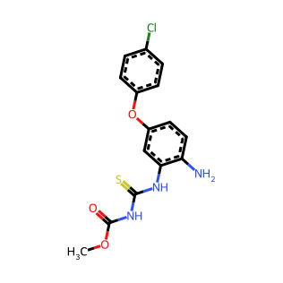 COC(=O)NC(=S)Nc1cc(Oc2ccc(Cl)cc2)ccc1N